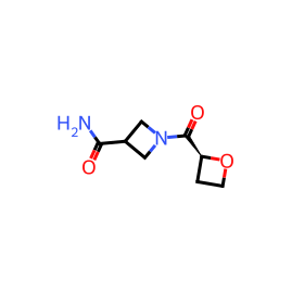 NC(=O)C1CN(C(=O)[C@@H]2CCO2)C1